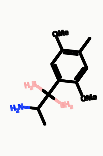 BC(B)(c1cc(OC)c(C)cc1OC)C(C)N